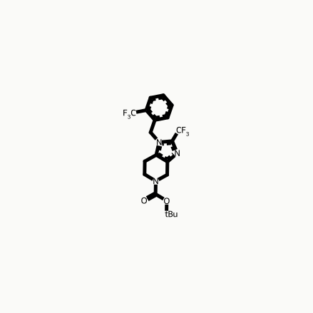 CC(C)(C)OC(=O)N1CCc2c(nc(C(F)(F)F)n2Cc2ccccc2C(F)(F)F)C1